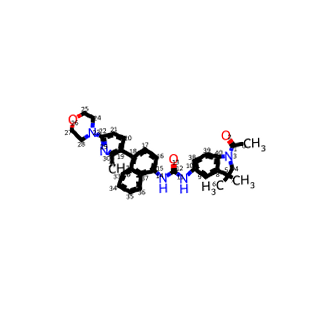 CC(=O)N1CC(C)(C)c2cc(NC(=O)Nc3ccc(-c4ccc(N5CCOCC5)nc4C)c4ccccc34)ccc21